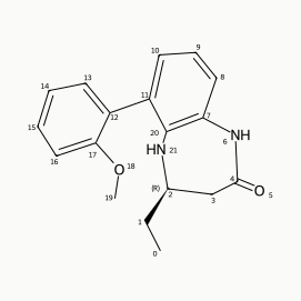 CC[C@@H]1CC(=O)Nc2cccc(-c3ccccc3OC)c2N1